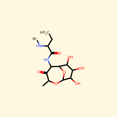 CC(C)NC(CC(=O)O)C(=O)NC1C(=O)C(C)OC2OC1C(O)C(O)C2O